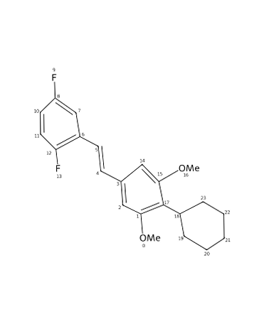 COc1cc(/C=C/c2cc(F)ccc2F)cc(OC)c1C1CCCCC1